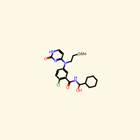 COCCN(c1ccc(Cl)c(C(=O)NC(O)C2CCCCC2)c1)c1cc[nH]c(=O)n1